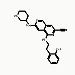 N#Cc1cc2cnc(NC3CCCNC3)cc2c(NCCc2ccccc2O)n1